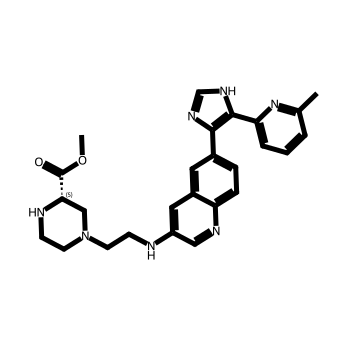 COC(=O)[C@@H]1CN(CCNc2cnc3ccc(-c4nc[nH]c4-c4cccc(C)n4)cc3c2)CCN1